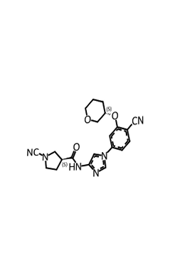 N#Cc1ccc(-n2cnc(NC(=O)[C@H]3CCN(C#N)C3)c2)cc1O[C@H]1CCCOC1